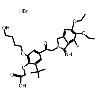 Br.CCOc1cc2c(c(F)c1OCC)C(=N)N(CC(=O)c1cc(OCCCCO)c(OCC(=O)O)c(C(C)(C)C)c1)C2